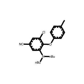 CCCCN(CCCC)c1cc(C#N)cc(Cl)c1Oc1ccc(C)cc1